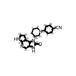 N#Cc1ccc(N2CCC[C@@H](n3c(=O)[nH]c4cnc5[nH]ccc5c43)C2)cc1